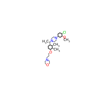 COc1cc(N2CCN(C(C)c3ccc(OCCCN4CCOCC4)c(C)c3C)CC2)ccc1Cl